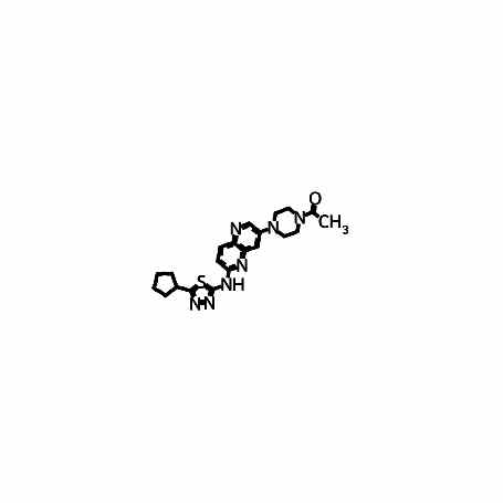 CC(=O)N1CCN(c2cnc3ccc(Nc4nnc(C5CCCC5)s4)nc3c2)CC1